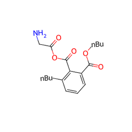 CCCCOC(=O)c1cccc(CCCC)c1C(=O)OC(=O)CN